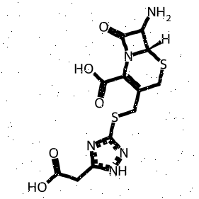 NC1C(=O)N2C(C(=O)O)=C(CSc3n[nH]c(CC(=O)O)n3)CS[C@@H]12